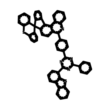 c1ccc(-c2nc(-c3ccc(-c4nc5ccccc5c5c6c(ccc45)C4(c5ccccc5Sc5ccccc54)c4ccccc4-6)cc3)nc(-c3cccc4c3sc3ccccc34)n2)cc1